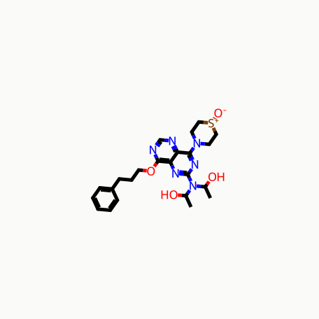 CC(O)N(c1nc(N2CC[S+]([O-])CC2)c2ncnc(OCCCc3ccccc3)c2n1)C(C)O